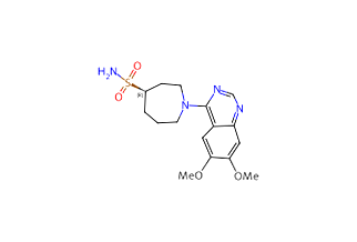 COc1cc2ncnc(N3CCC[C@@H](S(N)(=O)=O)CC3)c2cc1OC